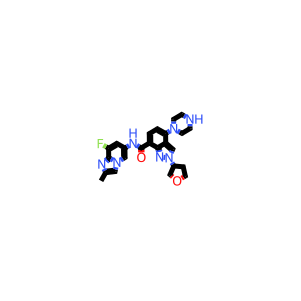 Cc1cn2cc(NC(=O)c3ccc(N4CCNCC4)c4cn(C5CCOC5)nc34)cc(F)c2n1